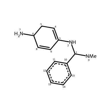 CNC(NC1=CCC(N)C=C1)c1ccccc1